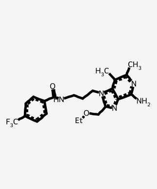 CCOCc1nc2c(N)nc(C)c(C)c2n1CCCNC(=O)c1ccc(C(F)(F)F)cc1